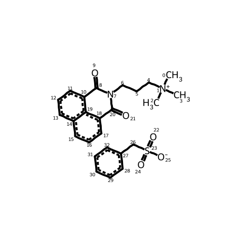 C[N+](C)(C)CCCN1C(=O)c2cccc3cccc(c23)C1=O.O=S(=O)([O-])Cc1ccccc1